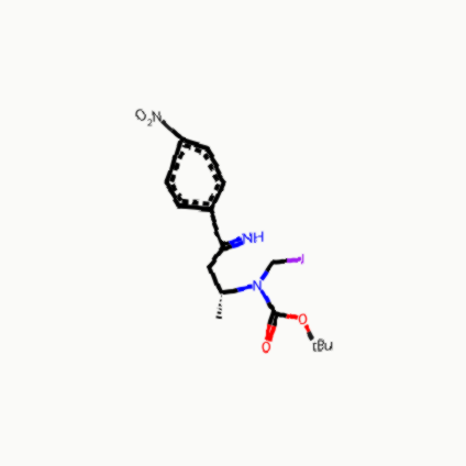 C[C@H](CC(=N)c1ccc([N+](=O)[O-])cc1)N(CI)C(=O)OC(C)(C)C